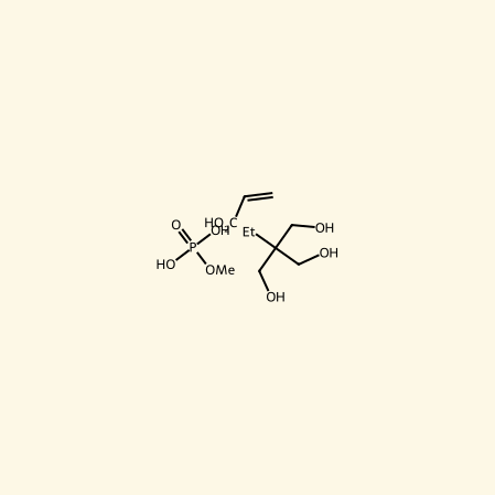 C=CC(=O)O.CCC(CO)(CO)CO.COP(=O)(O)O